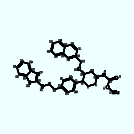 CC(C)(C)OC(=O)ON1CCC(c2ccc(CCSc3nc4ccccc4s3)cc2)C(OCc2ccc3ccccc3c2)C1